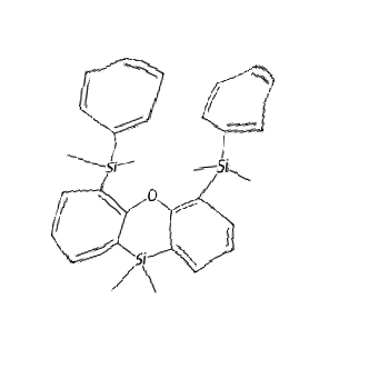 C[Si](C)(c1ccccc1)c1cccc2c1Oc1c([Si](C)(C)c3ccccc3)cccc1[Si]2(C)C